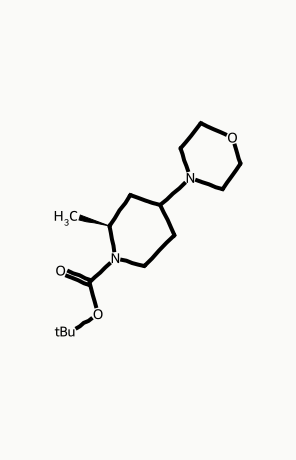 C[C@H]1CC(N2CCOCC2)CCN1C(=O)OC(C)(C)C